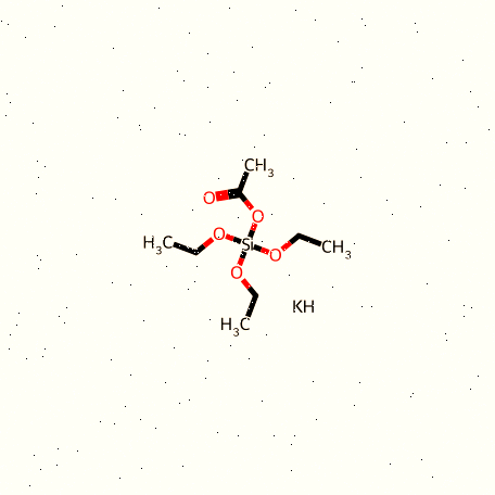 CCO[Si](OCC)(OCC)OC(C)=O.[KH]